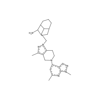 Cc1cc(N2CCc3c(c(C)nn3CCC3C4CCCC3C(N)CC4)C2)c2cnn(C)c2n1